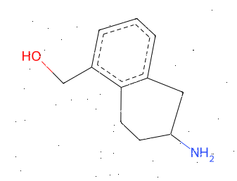 NC1CCc2c(CO)cccc2C1